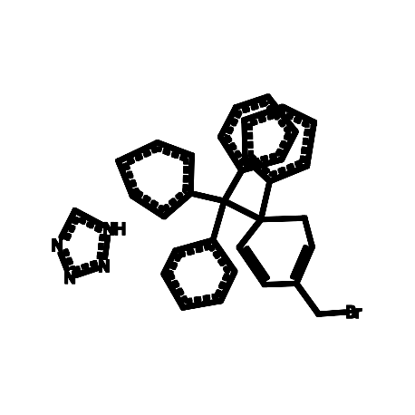 BrCC1=CCC(c2ccccc2)(C(c2ccccc2)(c2ccccc2)c2ccccc2)C=C1.c1nnn[nH]1